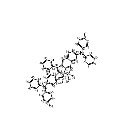 Cc1ccc(N(c2ccccc2)c2ccc3cc4c(cc3c2)C([Si](C)(C)C)([Si](C)(C)C)c2c-4c3ccccc3c3cc(N(c4ccccc4)c4ccc(C)cc4)ccc23)cc1